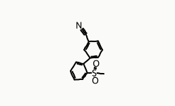 CS(=O)(=O)c1ccccc1-c1cccc(C#N)c1